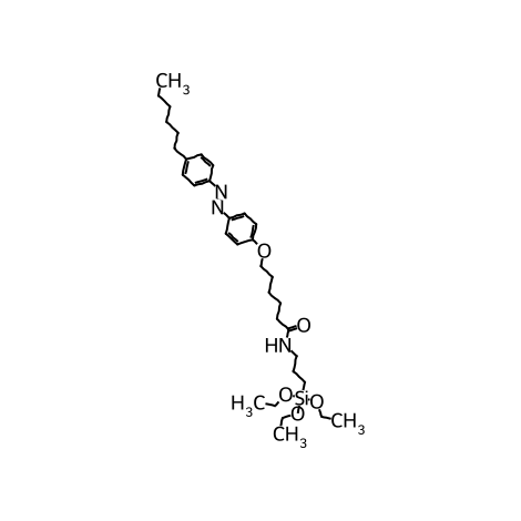 CCCCCCc1ccc(/N=N/c2ccc(OCCCCCC(=O)NCCC[Si](OCC)(OCC)OCC)cc2)cc1